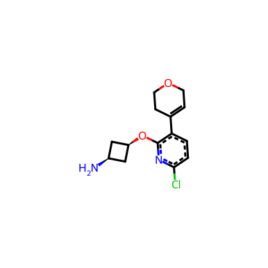 N[C@H]1C[C@@H](Oc2nc(Cl)ccc2C2=CCOCC2)C1